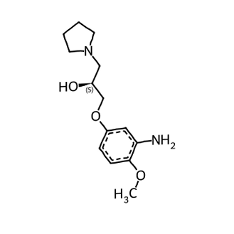 COc1ccc(OC[C@@H](O)CN2CCCC2)cc1N